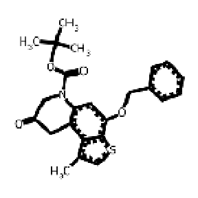 Cc1csc2c(OCc3ccccc3)cc3c(c12)CC(=O)CN3C(=O)OC(C)(C)C